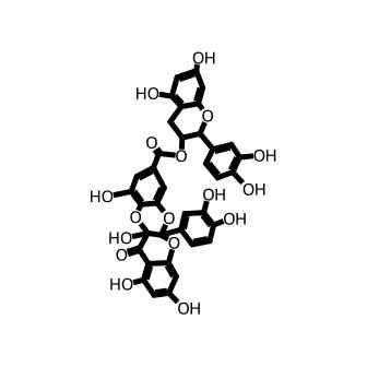 O=C(OC1Cc2c(O)cc(O)cc2OC1c1ccc(O)c(O)c1)c1cc(O)c2c(c1)OC1(c3ccc(O)c(O)c3)Oc3cc(O)cc(O)c3C(=O)C1(O)O2